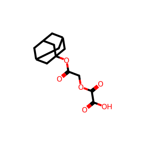 O=C(COC(=O)C(=O)O)OC12CC3CC(CC(C3)C1)C2